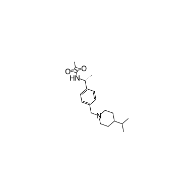 CC(C)C1CCN(Cc2ccc([C@@H](C)NS(C)(=O)=O)cc2)CC1